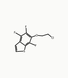 Fc1c(OCCCl)c(F)c2sccc2c1F